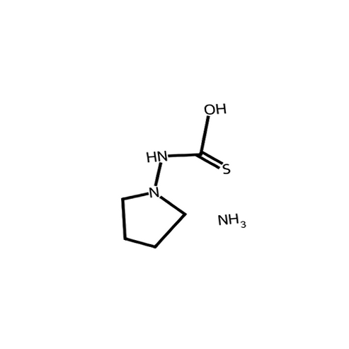 N.OC(=S)NN1CCCC1